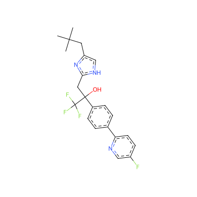 CC(C)(C)Cc1c[nH]c(CC(O)(c2ccc(-c3ccc(F)cn3)cc2)C(F)(F)F)n1